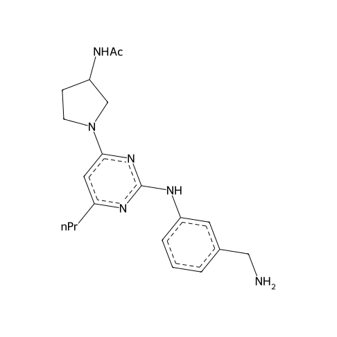 CCCc1cc(N2CCC(NC(C)=O)C2)nc(Nc2cccc(CN)c2)n1